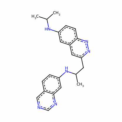 CC(C)Nc1ccc2nnc(CC(C)Nc3ccc4cncnc4c3)cc2c1